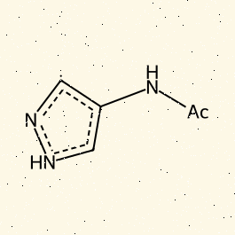 CC(=O)Nc1[c]n[nH]c1